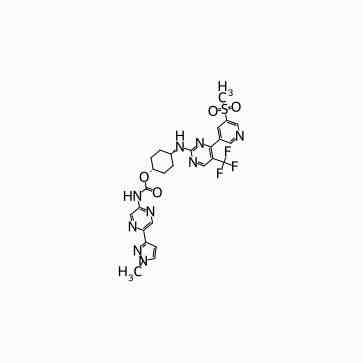 Cn1ccc(-c2cnc(NC(=O)O[C@H]3CC[C@H](Nc4ncc(C(F)(F)F)c(-c5cncc(S(C)(=O)=O)c5)n4)CC3)cn2)n1